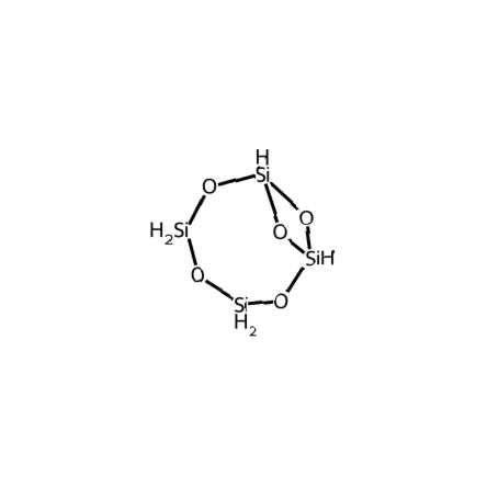 O1[SiH2]O[SiH]2O[SiH](O[SiH2]1)O2